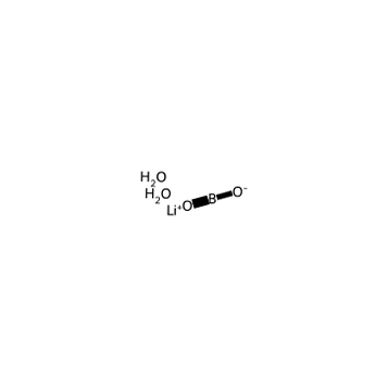 O.O.O=B[O-].[Li+]